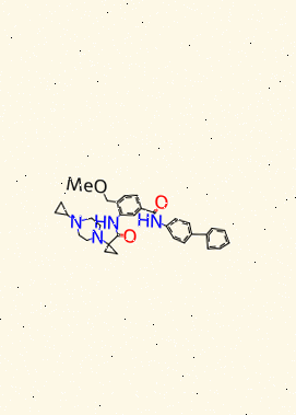 COCc1ccc(C(=O)Nc2ccc(-c3ccccc3)cc2)cc1NC(=O)C1(N2CCN(C3CC3)CC2)CC1